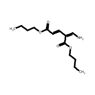 CCCCOC(=O)C=CC(=CN)C(=O)OCCCC